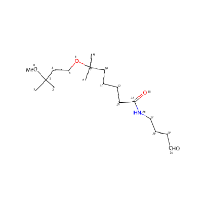 COC(C)(C)CCOC(C)(C)CCCCC(=O)NCCCC=O